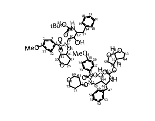 COc1ccc(S(=O)(=O)N(CC(O)C(Cc2ccccc2)NC(=O)OC(C)(C)C)OC2CCOCC2)cc1.COc1ccc(S(=O)(=O)N(C[C@@H](O)[C@H](Cc2ccccc2)NC(=O)O[C@H]2CO[C@H]3OCC[C@H]32)OC2CCOCC2)cc1